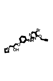 C#CCOc1nc(Nc2cccc(OC[C@@H](O)CN3CCC3)c2)ncc1Br